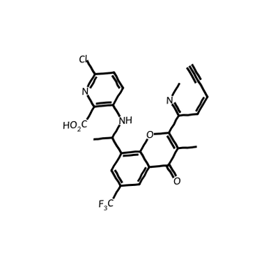 C#C/C=C\C(=N/C)c1oc2c(C(C)Nc3ccc(Cl)nc3C(=O)O)cc(C(F)(F)F)cc2c(=O)c1C